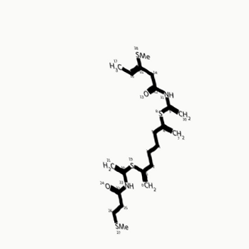 C=C(CCCCC(=C)SC(=C)NC(=O)C/C(=C/C)SC)SC(=C)NC(=O)CCSC